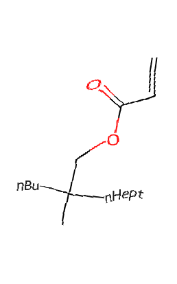 C=CC(=O)OCC(C)(CCCC)CCCCCCC